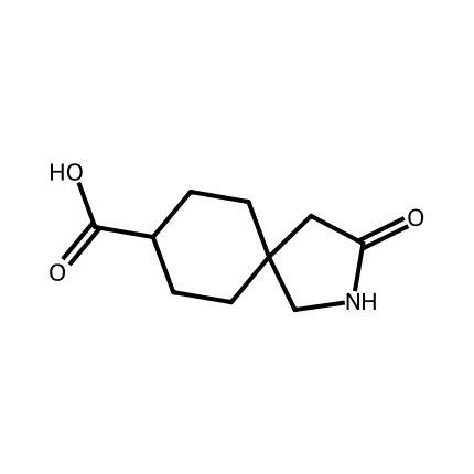 O=C1CC2(CCC(C(=O)O)CC2)CN1